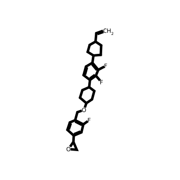 C=CC1CCC(c2ccc(C3CCC(OCc4ccc(C5CO5)cc4F)CC3)c(F)c2F)CC1